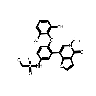 CCS(=O)(=O)Nc1ccc(Oc2c(C)cccc2C)c(-c2cn(C)c(=O)c3ccsc23)c1